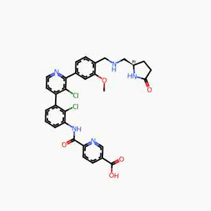 COc1cc(-c2nccc(-c3cccc(NC(=O)c4ccc(C(=O)O)cn4)c3Cl)c2Cl)ccc1CNC[C@H]1CCC(=O)N1